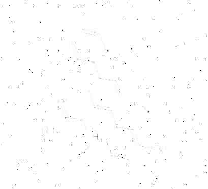 CC(C(N)=O)c1cc(-c2ccccc2)ccc1-c1cccc(O)c1